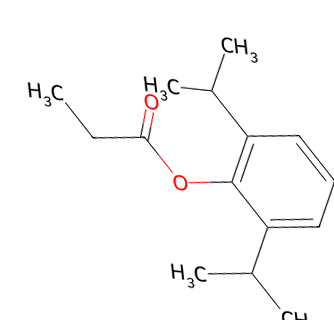 CCC(=O)Oc1c(C(C)C)cccc1C(C)C